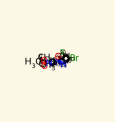 CC(C)(C)OC(=O)N1CCC(n2cnc3cc(Br)cc(F)c3c2=O)CC1